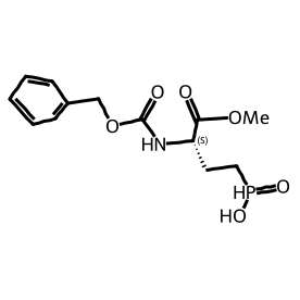 COC(=O)[C@H](CC[PH](=O)O)NC(=O)OCc1ccccc1